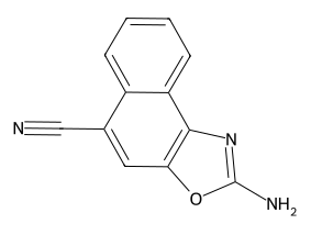 N#Cc1cc2oc(N)nc2c2ccccc12